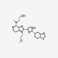 COCCn1c(-c2c[nH]c(-c3ccc4scnc4c3)n2)nc2c(N(C)CCO)nccc21